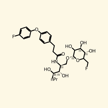 CCC[C@@H](O)[C@@H](O)[C@H](CO[C@H]1OC(CF)[C@@H](O)[C@H](O)C1O)NC(=O)CCc1ccc(Oc2ccc(F)cc2)cc1